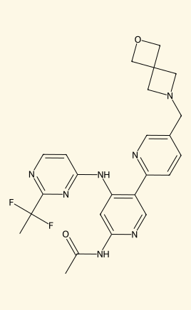 CC(=O)Nc1cc(Nc2ccnc(C(C)(F)F)n2)c(-c2ccc(CN3CC4(COC4)C3)cn2)cn1